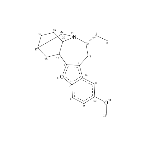 CC[C@@H]1Cc2c(oc3ccc(OC)cc23)C2CC3CCC2N1C3